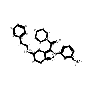 COc1cccc(-n2nc3c(c2C(=O)N2CCCCC2)CC(NCCc2ccccc2)CC3)c1